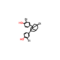 CCc1cc(C23CC4CC(CC)(C2)CC(c2ccc(O)c(CC)c2)(C4)C3)ccc1O